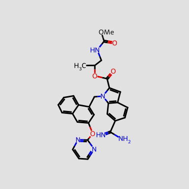 COC(=O)NCC(C)OC(=O)c1cc2ccc(C(=N)N)cc2n1Cc1cc(Oc2ncccn2)cc2ccccc12